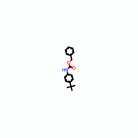 CC(C)(C)c1ccc(NC(=O)OCc2ccccc2)cc1